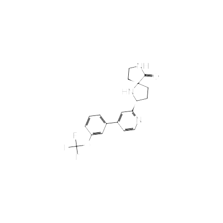 O=C1NCC[C@]12CC[C@@H](c1cc(-c3cccc(OC(F)(F)F)c3)ccn1)N2